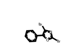 Brc1nc(Br)c(-c2ccccc2)o1